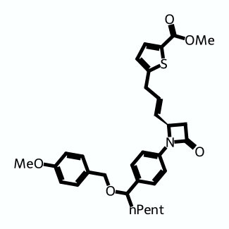 CCCCCC(OCc1ccc(OC)cc1)c1ccc(N2C(=O)C[C@@H]2C=CCc2ccc(C(=O)OC)s2)cc1